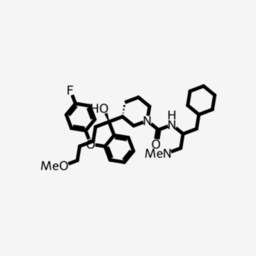 CNCC(CC1CCCCC1)NC(=O)N1CCC[C@@H]([C@@](O)(CCCCOC)c2ccccc2Oc2ccc(F)cc2)C1